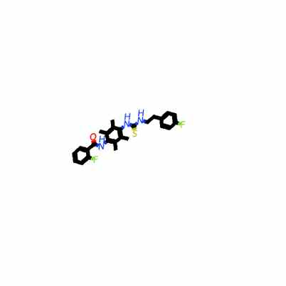 Cc1c(C)c(NC(=S)NCCc2ccc(F)cc2)c(C)c(C)c1NC(=O)c1ccccc1F